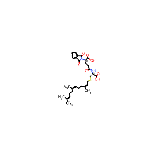 CC(C)=CCCC(C)=CCCC(C)=CCSC[C@H](NC(=O)CC[C@@H](C(=O)O)N1C(=O)c2ccccc2C1=O)C(=O)O